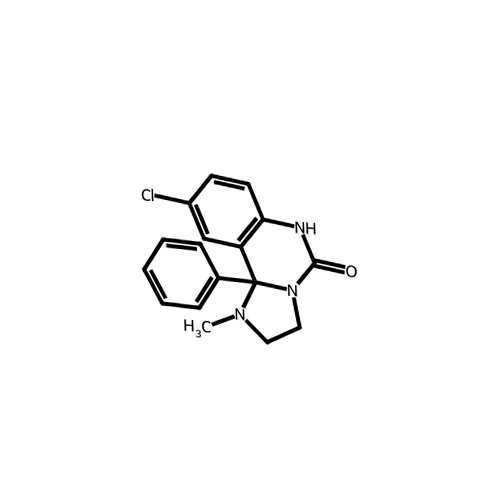 CN1CCN2C(=O)Nc3ccc(Cl)cc3C12c1ccccc1